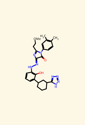 COCCC1=NC(=NNc2cccc(C3CCCC(c4nnn[nH]4)C3)c2O)C(=O)N1c1ccc(C)c(C)c1